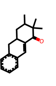 CC1CC2Cc3ccccc3C=C2C(=O)C1(C)C